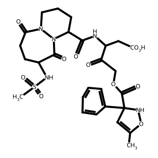 CC1=CC(C(=O)OCC(=O)C(CC(=O)O)NC(=O)C2CCCN3C(=O)CCC(NS(C)(=O)=O)C(=O)N23)(c2ccccc2)NO1